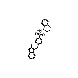 Cc1nc2ccccc2n1Cc1ccc(S(=O)(=O)NC2CCCc3ccccc32)cc1